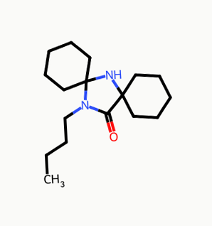 CCCCN1C(=O)C2(CCCCC2)NC12CCCCC2